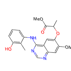 COC(=O)C(C)Oc1cc2c(Nc3cccc(O)c3C)ncnc2cc1OC